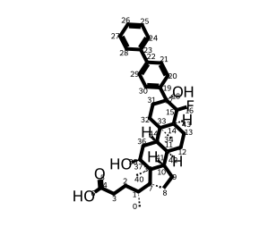 C[C@H](CCC(=O)O)[C@H]1CC[C@H]2[C@@H]3CC[C@@H]4C(F)[C@](O)(c5ccc(-c6ccccc6)cc5)CC[C@]4(C)[C@H]3C[C@H](O)[C@]12C